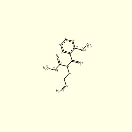 C=CCCC(C(=N)c1ccccc1NC)C(=O)NC